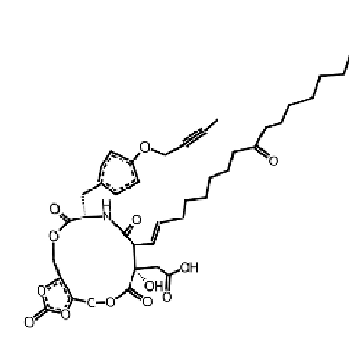 CC#CCOc1ccc(C[C@@H]2NC(=O)[C@@H](/C=C/CCCCCCC(=O)CCCCCCC)[C@@](O)(CC(=O)O)C(=O)OCc3oc(=O)oc3COC2=O)cc1